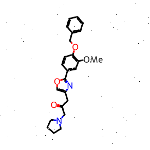 COc1cc(-c2nc(CC(=O)CN3CCCC3)co2)ccc1OCc1ccccc1